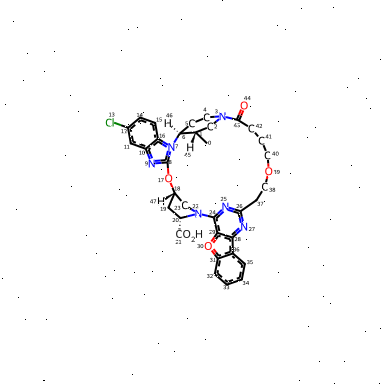 C[C@H]1CN2CC[C@@H]1n1c(nc3cc(Cl)ccc31)O[C@H]1C[C@@H](C(=O)O)N(C1)c1nc(nc3c1oc1ccccc13)CCOCCCC2=O